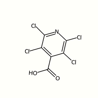 O=C(O)c1c(Cl)c(Cl)nc(Cl)c1Cl